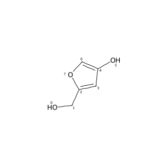 OCc1cc(O)co1